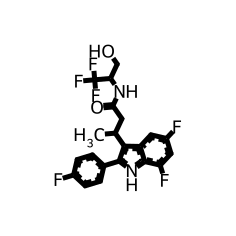 CC(CC(=O)NC(CO)C(F)(F)F)c1c(-c2ccc(F)cc2)[nH]c2c(F)cc(F)cc12